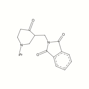 CC(C)N1CCC(=O)C(CN2C(=O)c3ccccc3C2=O)C1